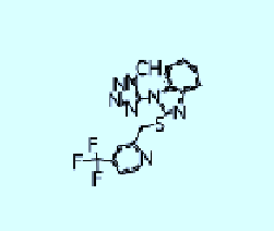 Cn1nnnc1-n1c(SCc2cc(C(F)(F)F)ccn2)nc2ccccc21